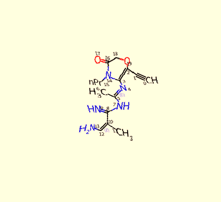 C#CC1=C(/N=C(\C)NC(=N)/C(C)=C\N)N(CCC)C(=O)CO1